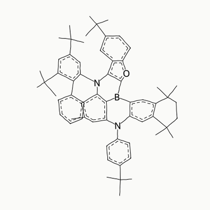 Cc1cc2c3c(c1)N(c1cc(C(C)(C)C)cc(C(C)(C)C)c1-c1ccccc1)c1c(oc4ccc(C(C)(C)C)cc14)B3c1cc3c(cc1N2c1ccc(C(C)(C)C)cc1)C(C)(C)CCC3(C)C